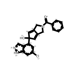 O=C(c1ccccc1)N1CC2=CC(O)(c3cc(Cl)cc4[nH]ncc34)C=C2C1